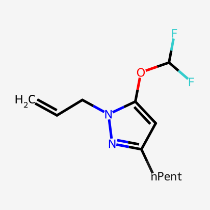 C=CCn1nc(CCCCC)cc1OC(F)F